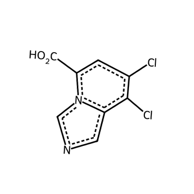 O=C(O)c1cc(Cl)c(Cl)c2cncn12